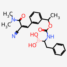 CC(OC(=O)NC(Cc1ccccc1)B(O)O)c1cccc(C=C(C#N)C(=O)N(C)C)c1